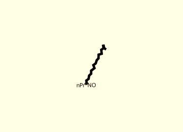 C=C(C)CCCCCCCCCCCCCC(CCC)N=O